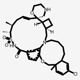 C[C@@H]1[C@@H](C)C/C=C/[C@]2(CNCCO2)[C@@H]2CC[C@H]2CN2CCCCC3C=C(Cl)C=CC3(C)COc3ccc(cc32)C(=O)NS1(=O)=O